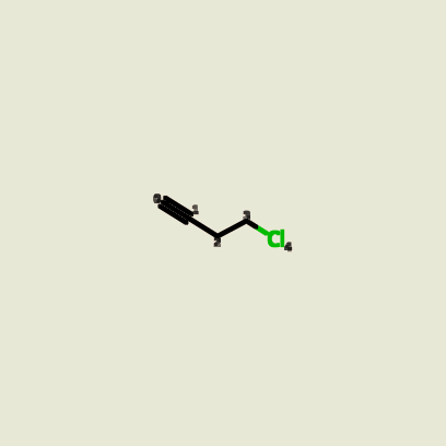 [C]#CCCCl